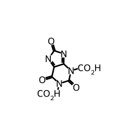 O=C1N=c2c(=O)n(C(=O)O)c(=O)n(C(=O)O)c2=N1